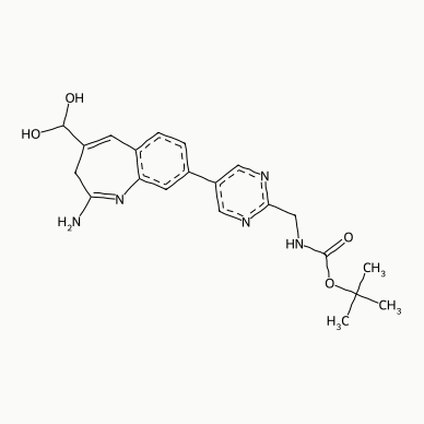 CC(C)(C)OC(=O)NCc1ncc(-c2ccc3c(c2)N=C(N)CC(C(O)O)=C3)cn1